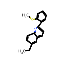 CCc1ccc2nc(-c3ccccc3SC)ccc2c1